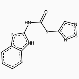 O=C(Nc1nc2ccccc2[nH]1)Sc1cnsn1